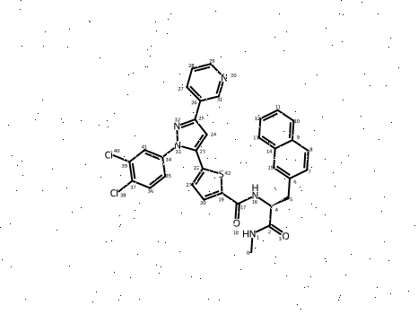 CNC(=O)[C@H](Cc1ccc2ccccc2c1)NC(=O)c1ccc(-c2cc(-c3cccnc3)nn2-c2ccc(Cl)c(Cl)c2)s1